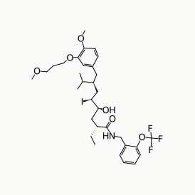 CC[C@H](C[C@H](O)[C@@H](I)C[C@H](Cc1ccc(OC)c(OCCCOC)c1)C(C)C)C(=O)NCc1ccccc1OC(F)(F)F